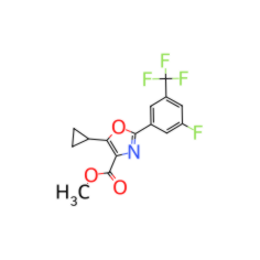 COC(=O)c1nc(-c2cc(F)cc(C(F)(F)F)c2)oc1C1CC1